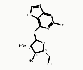 CCc1nc(OC2O[C@H](CO)[C@@H](O)[C@@H]2O)c2[nH]cnc2n1